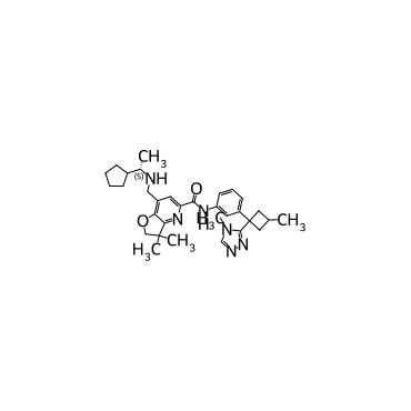 CC1CC(c2cccc(NC(=O)c3cc(CN[C@@H](C)C4CCCC4)c4c(n3)C(C)(C)CO4)c2)(c2nncn2C)C1